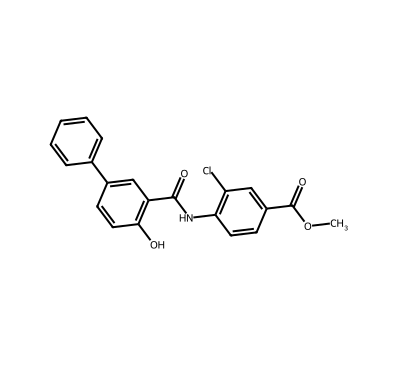 COC(=O)c1ccc(NC(=O)c2cc(-c3ccccc3)ccc2O)c(Cl)c1